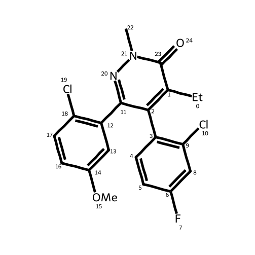 CCc1c(-c2ccc(F)cc2Cl)c(-c2cc(OC)ccc2Cl)nn(C)c1=O